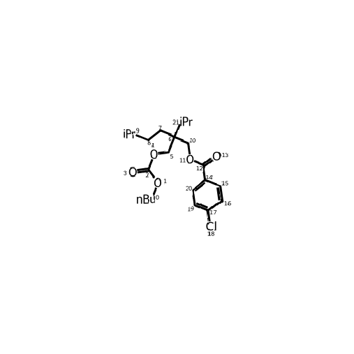 CCCCOC(=O)OCC(CCC(C)C)(COC(=O)c1ccc(Cl)cc1)C(C)C